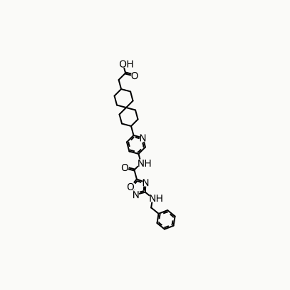 O=C(O)CC1CCC2(CC1)CCC(c1ccc(NC(=O)c3nc(NCc4ccccc4)no3)cn1)CC2